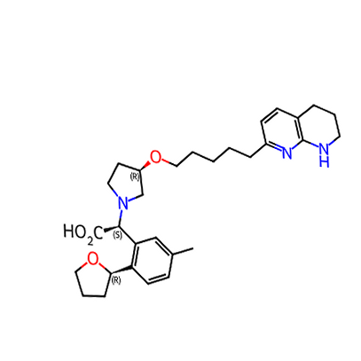 Cc1ccc([C@H]2CCCO2)c([C@@H](C(=O)O)N2CC[C@@H](OCCCCCc3ccc4c(n3)NCCC4)C2)c1